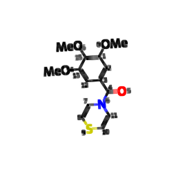 COc1cc(C(=O)N2C=CSC=C2)cc(OC)c1OC